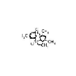 C=C[Si](Cl)(c1cc(C)cc(C)c1)c1cc(C)cc(C)c1